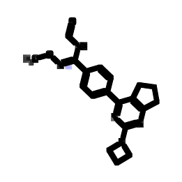 CO/N=C(\NC=O)c1ccc(-c2nc(N3CCC3)nc3c2CCC3)cc1